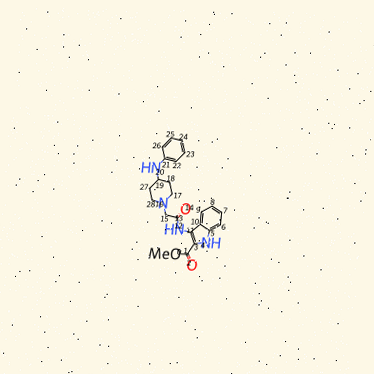 COC(=O)c1[nH]c2ccccc2c1NC(=O)CN1CCC(Nc2ccccc2)CC1